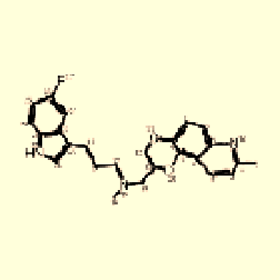 Cc1ccc2c3c(ccc2n1)OCC(CN(C)CCCc1c[nH]c2ccc(F)cc12)O3